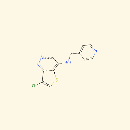 Clc1csc2c(NCc3ccncc3)cnnc12